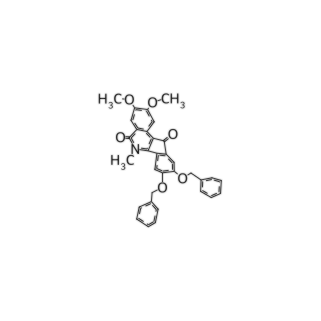 COc1cc2c3c(n(C)c(=O)c2cc1OC)-c1cc(OCc2ccccc2)c(OCc2ccccc2)cc1C3=O